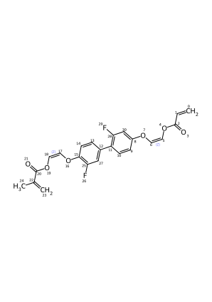 C=CC(=O)O/C=C\Oc1ccc(-c2ccc(O/C=C\OC(=O)C(=C)C)c(F)c2)c(F)c1